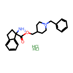 Cl.Cl.NC1(C(=O)OCC2CCN(Cc3ccccc3)CC2)CCc2ccccc21